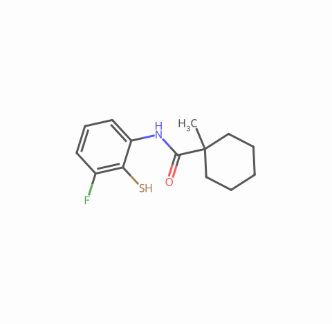 CC1(C(=O)Nc2cccc(F)c2S)CCCCC1